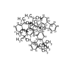 CC(C)C1=Cc2c(ccc(C(C)(C)C)c2-c2ccccc2C(C)C)[CH]1[Zr]([Cl])([Cl])([c]1cccc2c1[SiH2]c1ccccc1-2)[CH]1C(C(C)C)=Cc2c1ccc(C(C)(C)C)c2-c1ccccc1C(C)C